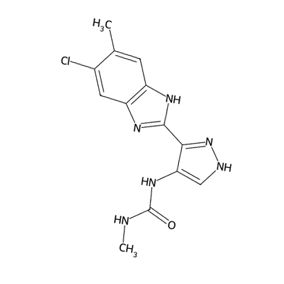 CNC(=O)Nc1c[nH]nc1-c1nc2cc(Cl)c(C)cc2[nH]1